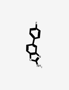 Nc1nc2cc(-c3ccc(F)cc3)ccc2o1